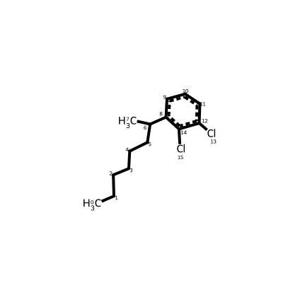 CCCCCCC(C)c1cccc(Cl)c1Cl